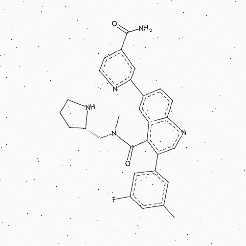 Cc1cc(F)cc(-c2cnc3ccc(-c4cc(C(N)=O)ccn4)cc3c2C(=O)N(C)C[C@@H]2CCCN2)c1